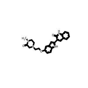 CN1CCN(CCOc2ccc3[nH]c(-c4cc5ccccc5[nH]c4=O)cc3c2)CC1=O